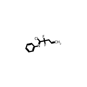 C=CCC(F)(F)/C(Cl)=N/c1ccccc1